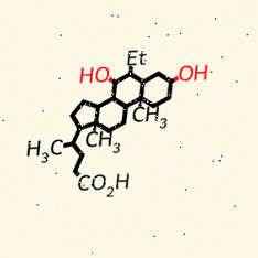 CCC1C(O)C2C(CC[C@]3(C)C(C(C)CCC(=O)O)CCC23)[C@@]2(C)CCC(O)CC12